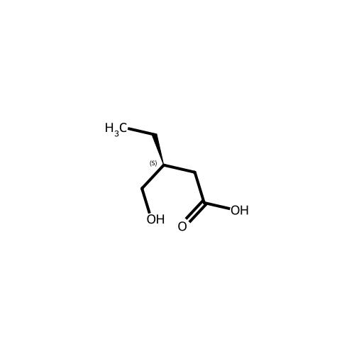 CC[C@H](CO)CC(=O)O